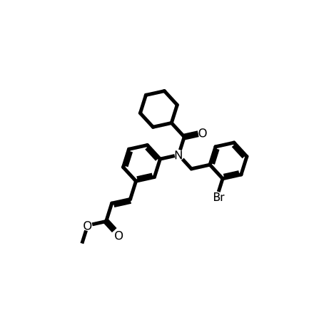 COC(=O)/C=C/c1cccc(N(Cc2ccccc2Br)C(=O)C2CCCCC2)c1